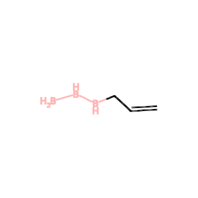 BBBCC=C